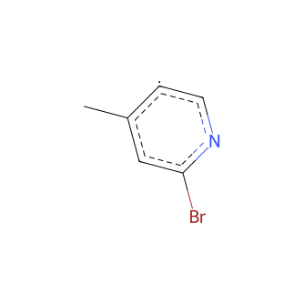 Cc1[c]cnc(Br)c1